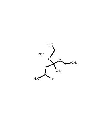 CCOC(C)(OCC)OP(C)[O-].[Na+]